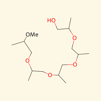 COC(C)COC(C)COC(C)COC(C)COC(C)CO